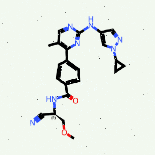 COC[C@@H](C#N)NC(=O)c1ccc(-c2nc(Nc3cnn(C4CC4)c3)ncc2C)cc1